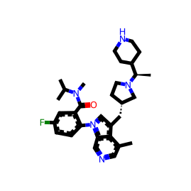 Cc1cncc2c1c(C[C@@H]1CCN([C@H](C)C3CCNCC3)C1)cn2-c1ccc(F)cc1C(=O)N(C)C(C)C